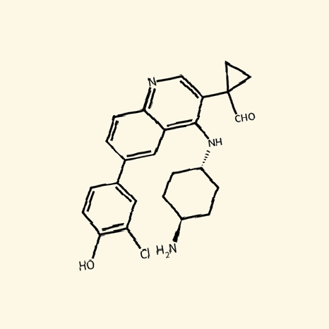 N[C@H]1CC[C@H](Nc2c(C3(C=O)CC3)cnc3ccc(-c4ccc(O)c(Cl)c4)cc23)CC1